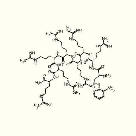 N=C(N)NCCC[C@H](NC(=O)[C@H](CCCNC(=N)N)NC(=O)[C@H](CCCNC(=N)N)NC(=O)[C@H](CCCNC(=N)N)NC(=O)[C@H](CCCNC(=N)N)NC(=O)[C@H](CCCNC(=N)N)NC(=O)[C@H](CCCNC(=N)N)NC(=O)[C@@H](N)CSSc1ncccc1[N+](=O)[O-])C(N)=O